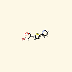 O=CC(CBr)c1ccc(-c2ccccn2)s1